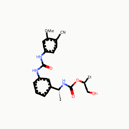 CCC(CO)OC(=O)N[C@H](C)c1cccc(NC(=O)Nc2ccc(C#N)c(OC)c2)c1